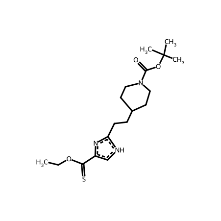 CCOC(=S)c1c[nH]c(CCC2CCN(C(=O)OC(C)(C)C)CC2)n1